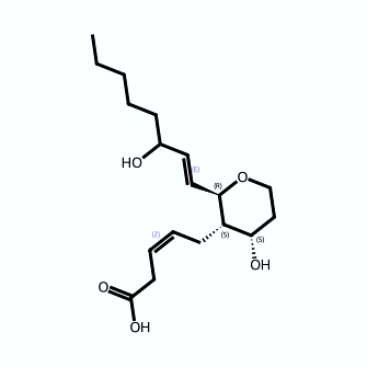 CCCCCC(O)/C=C/[C@H]1OCC[C@H](O)[C@@H]1C/C=C\CC(=O)O